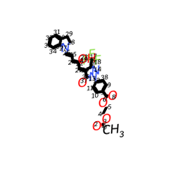 CC(=O)OCCOC(=O)c1ccc(N2N=C(C(F)(F)F)\C(=C/C(O)=C/C=C/N3CCc4ccccc43)C2=O)cc1